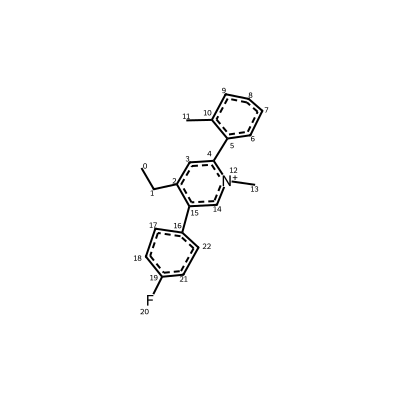 CCc1cc(-c2ccccc2C)[n+](C)cc1-c1ccc(F)cc1